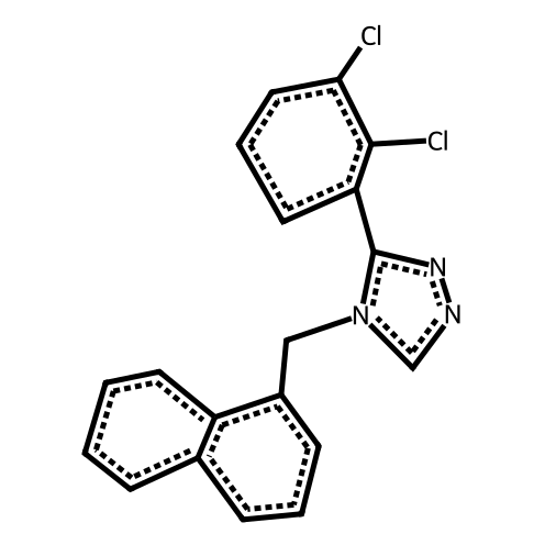 Clc1cccc(-c2nncn2Cc2cccc3ccccc23)c1Cl